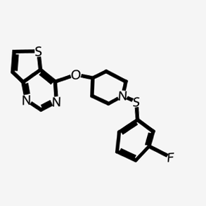 Fc1cccc(SN2CCC(Oc3ncnc4ccsc34)CC2)c1